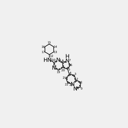 c1cc2cc(-c3c[nH]c4nc(NC5CCCCC5)ncc34)ccn2n1